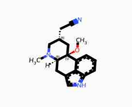 CO[C@]12C[C@@H](CC#N)CN(C)[C@@H]1Cc1c[nH]c3cccc2c13